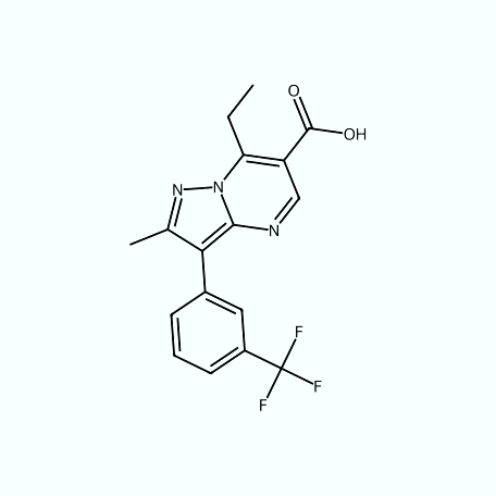 CCc1c(C(=O)O)cnc2c(-c3cccc(C(F)(F)F)c3)c(C)nn12